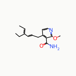 CC=C(C=CCc1ccnc(OC)c1C(N)=O)CC